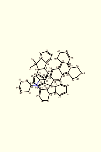 CC1(C)c2ccccc2C2C=CC(N(C3=CCCC4C5C=CC=CC5C5(c6ccccc6-c6cc7c8c(c9c(c7cc65)CCCC9)C=CCC8)C34)C3C=CC=CC3)CC21